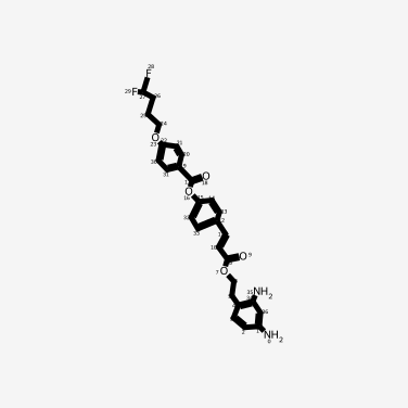 Nc1ccc(CCOC(=O)/C=C/c2ccc(OC(=O)c3ccc(OCCCC(F)F)cc3)cc2)c(N)c1